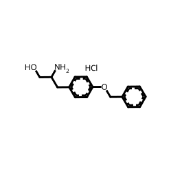 Cl.NC(CO)Cc1ccc(OCc2ccccc2)cc1